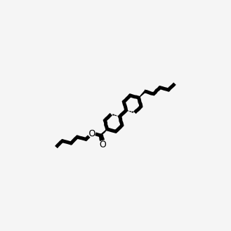 CCCCCOC(=O)[C@H]1CC[C@H]([C@H]2CC[C@H](CCCCC)CC2)CC1